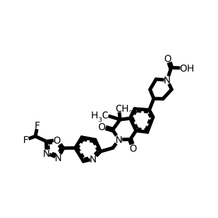 CC1(C)C(=O)N(Cc2ccc(-c3nnc(C(F)F)o3)cn2)C(=O)c2ccc(C3CCN(C(=O)O)CC3)cc21